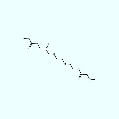 CCC(=O)NCC(F)COCCOCCNC(=O)COC